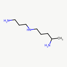 CC(N)CCCNCCCN